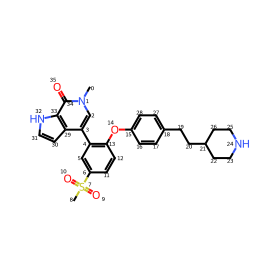 Cn1cc(-c2cc(S(C)(=O)=O)ccc2Oc2ccc(CCC3CCNCC3)cc2)c2cc[nH]c2c1=O